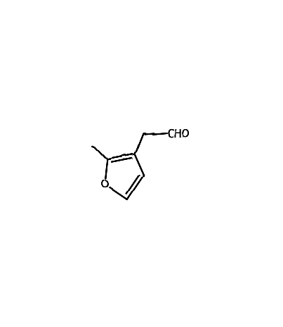 Cc1occc1CC=O